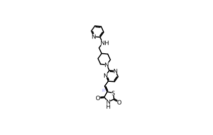 O=C1NC(=O)/C(=C/c2ccnc(N3CCC(CNc4ccccn4)CC3)n2)S1